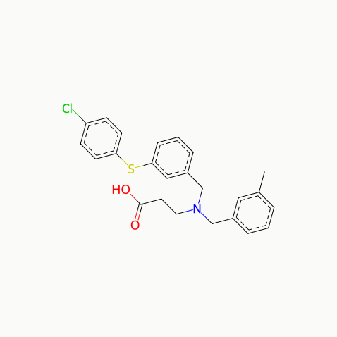 Cc1cccc(CN(CCC(=O)O)Cc2cccc(Sc3ccc(Cl)cc3)c2)c1